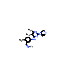 Cc1ccc(Nc2nc(N3CC4CC3CN4)nc(C)c2C)cc1/C=N\C(C)C